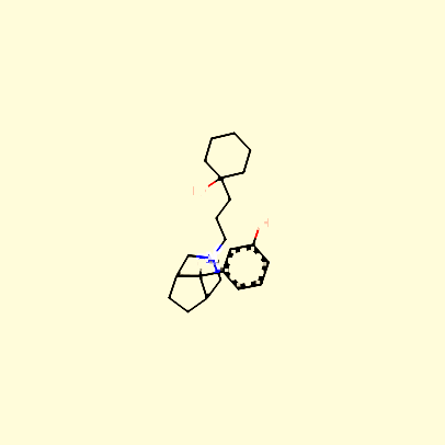 COC1(c2cccc(O)c2)C2CCC1CN(CCCC1(O)CCCCC1)C2